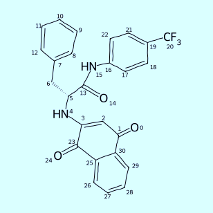 O=C1C=C(N[C@H](Cc2ccccc2)C(=O)Nc2ccc(C(F)(F)F)cc2)C(=O)c2ccccc21